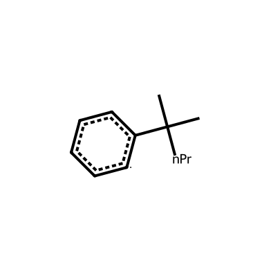 CCCC(C)(C)c1[c]cccc1